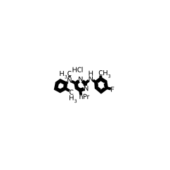 CCCc1cc(N(C)c2ccccc2C)nc(Nc2ccc(F)cc2C)n1.Cl